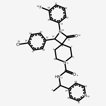 CC(NC(=O)N1CCC2(CC1)C(=O)N(c1cccc(F)c1)C2c1ccc(Cl)cc1)c1ccncc1